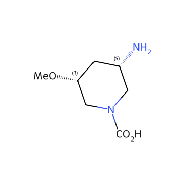 CO[C@@H]1C[C@H](N)CN(C(=O)O)C1